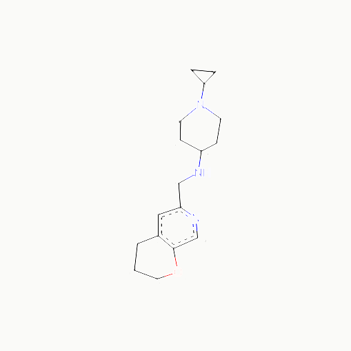 c1c(CNC2CCN(C3CC3)CC2)ncc2c1CCCO2